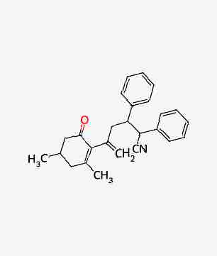 C=C(CC(c1ccccc1)C(C#N)c1ccccc1)C1=C(C)CC(C)CC1=O